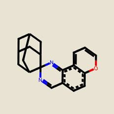 C1=COc2ccc3c(c2=C1)=NC1(N=C3)C2CC3CC(C2)CC1C3